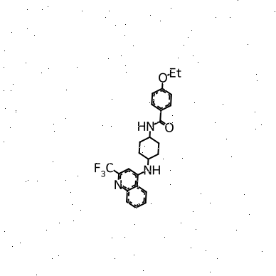 CCOc1ccc(C(=O)NC2CCC(Nc3cc(C(F)(F)F)nc4ccccc34)CC2)cc1